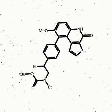 CCC(CN(CC)C(=O)OC(C)(C)C)c1ccc(-c2c(OC)ccc3[nH]c(=O)c4sccc4c23)cc1